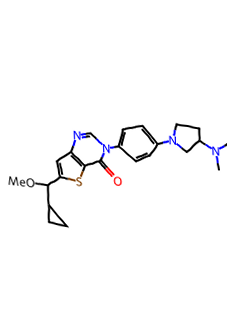 COC(c1cc2ncn(-c3ccc(N4CCC(N(C)C)C4)cc3)c(=O)c2s1)C1CC1